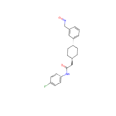 O=NCc1cccc([C@H]2CC[C@H](CC(=O)Nc3ccc(F)cc3)CC2)c1